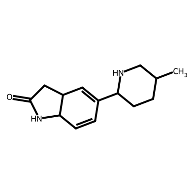 CC1CCC(C2=CC3CC(=O)NC3C=C2)NC1